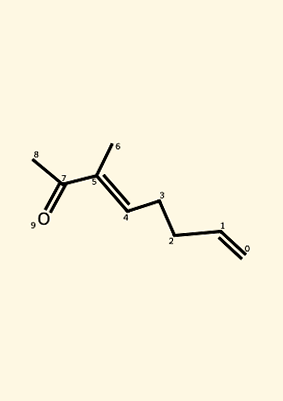 C=CCC/C=C(\C)C(C)=O